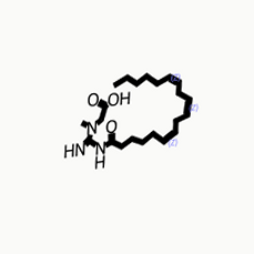 CCCCC/C=C\C/C=C\C/C=C\CCCCC(=O)NC(=N)N(C)CC(=O)O